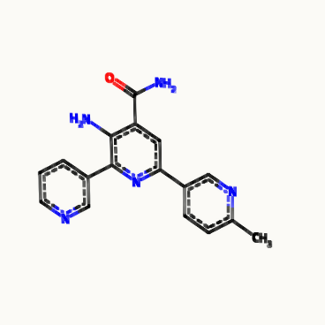 Cc1ccc(-c2cc(C(N)=O)c(N)c(-c3cccnc3)n2)cn1